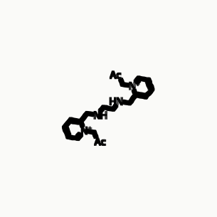 CC(=O)C[n+]1ccccc1CNCCNCc1cccc[n+]1CC(C)=O